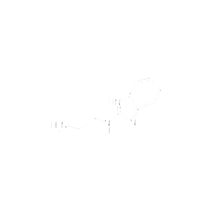 NCCNc1nc2ccccc2[nH]1